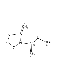 C=C1CCCN1[C@@H](CC(C)(C)C)C(C)(C)C